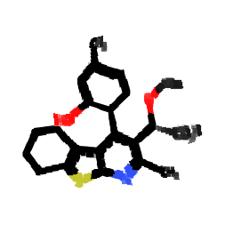 CC1=CC[C@@H](c2c([C@H](OC(C)(C)C)C(=O)O)c(C)nc3sc4c(c23)CCCC4)C(O)=C1